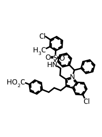 Cc1c(Cl)cccc1S(=O)(=O)NCCc1c(CCCc2ccc(C(=O)O)cc2)c2cc(Cl)ccc2n1C(c1ccccc1)c1ccccc1